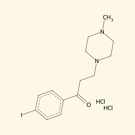 CN1CCN(CCC(=O)c2ccc(I)cc2)CC1.Cl.Cl